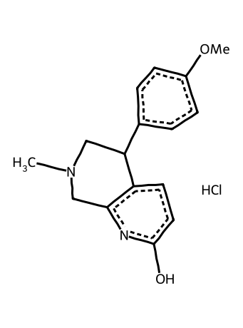 COc1ccc(C2CN(C)Cc3nc(O)ccc32)cc1.Cl